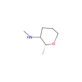 CNC1CCCO[C@@H]1C